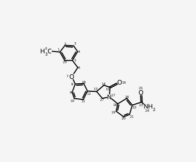 Cc1cccc(COc2cccc(C3CC(=O)N(c4cccc(C(N)=O)c4)C3)c2)c1